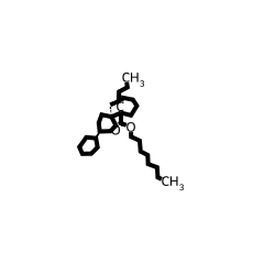 CCCCCCCCOC(=O)C1([C@]2(CCCCC)CC[C@H](C3CCCCC3)CC2)CCCCC1